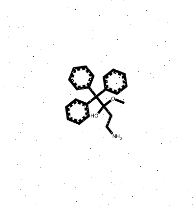 COC(O)(CCN)C(c1ccccc1)(c1ccccc1)c1ccccc1